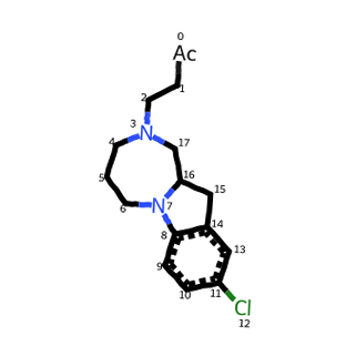 CC(=O)CCN1CCCN2c3ccc(Cl)cc3CC2C1